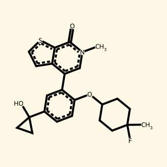 Cn1cc(-c2cc(C3(O)CC3)ccc2OC2CCC(C)(F)CC2)c2ccsc2c1=O